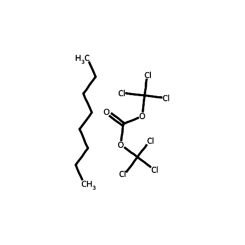 CCCCCCCC.O=C(OC(Cl)(Cl)Cl)OC(Cl)(Cl)Cl